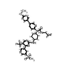 COc1ncc(-c2ccc(N(C(=O)NCC(F)F)C3CCC(Nc4ncc(C(F)(F)F)c(-c5cncc(S(C)(=O)=O)c5)n4)CC3)nc2)cn1